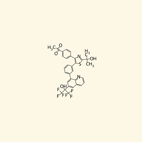 CC(C)(O)c1nc(-c2ccc(S(C)(=O)=O)cc2)c(-c2cccc(-c3cc(C(O)(C(F)(F)F)C(F)(F)F)cc4cccnc34)c2)s1